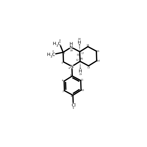 CC1(C)CN(c2ccc(Cl)cc2)[C@@H]2CCCC[C@@H]2N1